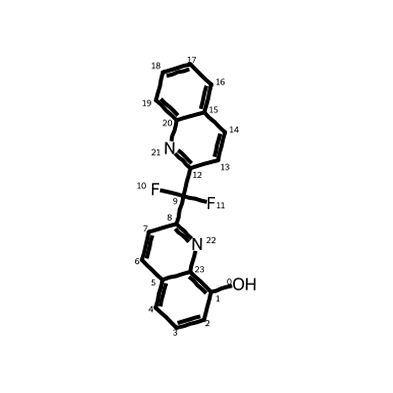 Oc1cccc2ccc(C(F)(F)c3ccc4ccccc4n3)nc12